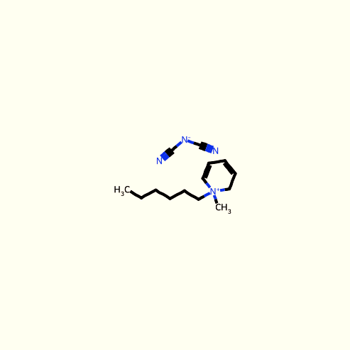 CCCCCC[N+]1(C)C=CC=CC1.N#C[N-]C#N